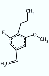 C=Cc1cc(F)c(CCC)c(OC)c1